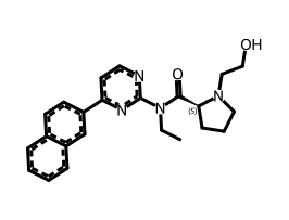 CCN(C(=O)[C@@H]1CCCN1CCO)c1nccc(-c2ccc3ccccc3c2)n1